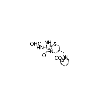 N[C@]1(NC=O)C(=O)N2C(C(=O)O)=C(C[n+]3ccccc3)CS[C@@H]21